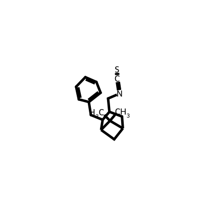 CC1(C)C2CC(CN=C=S)C(Cc3ccccc3)C1C2